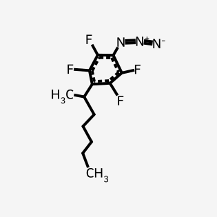 CCCCCC(C)c1c(F)c(F)c(N=[N+]=[N-])c(F)c1F